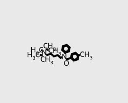 Cc1ccc(C(=O)N(CCCCC[N+](C)(C(C)C)C(C)C)c2ccccc2)cc1